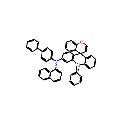 c1ccc(-c2ccc(N(c3ccc4c(c3)[SiH](c3ccccc3)c3ccccc3C43c4ccccc4Oc4ccccc43)c3cccc4ccccc34)cc2)cc1